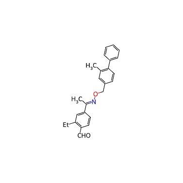 CCc1cc(/C(C)=N/OCc2ccc(-c3ccccc3)c(C)c2)ccc1C=O